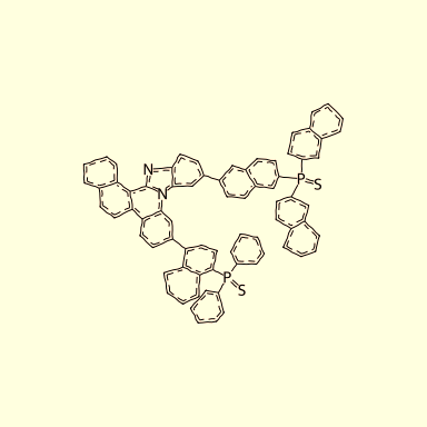 S=P(c1ccc2ccccc2c1)(c1ccc2ccccc2c1)c1ccc2cc(-c3ccc4nc5c6c7ccccc7ccc6c6ccc(-c7ccc(P(=S)(c8ccccc8)c8ccccc8)c8ccccc78)cc6n5c4c3)ccc2c1